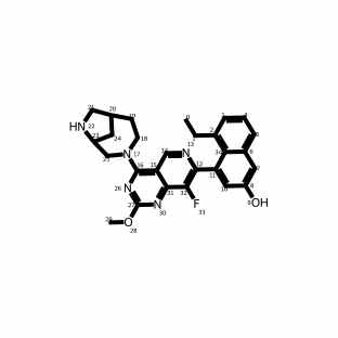 CCc1cccc2cc(O)cc(-c3ncc4c(N5CCC6CNC(C6)C5)nc(OC)nc4c3F)c12